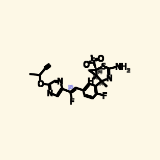 C#CC(C)Oc1cnc(/C(F)=C/c2ccc(F)c([C@@]3(C)N=C(N)S[C@@]4(S(C)(=O)=O)C[C@H]43)c2)cn1